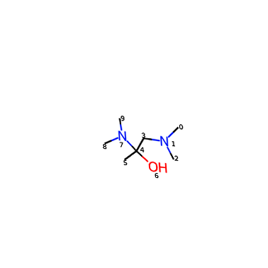 CN(C)CC(C)(O)N(C)C